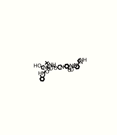 COc1cc(N2CCC(OCC(=O)N[C@H](C(=O)N3C[C@H](O)C[C@H]3C(=O)NCc3ccccc3C)C(C)(C)C)CC2)ccc1NC(=O)c1cccc(-c2cc[nH]n2)n1